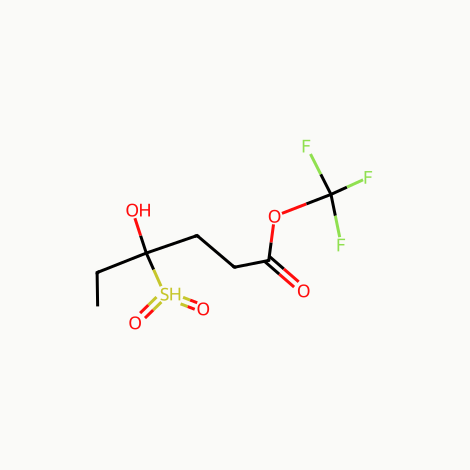 CCC(O)(CCC(=O)OC(F)(F)F)[SH](=O)=O